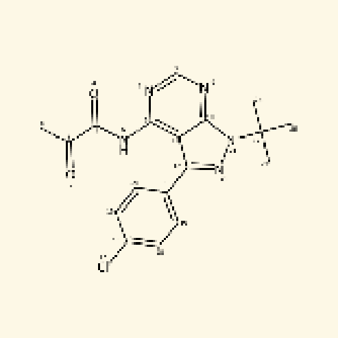 CC(=O)C(=O)Nc1ncnc2c1c(-c1ccc(Cl)cc1)nn2C(C)(C)C